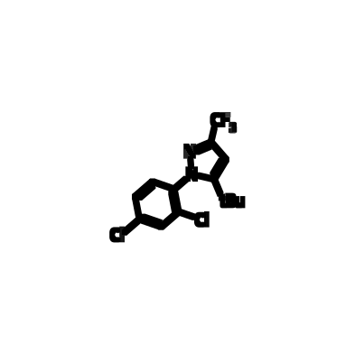 CC(C)(C)c1cc(C(F)(F)F)nn1-c1ccc(Cl)cc1Cl